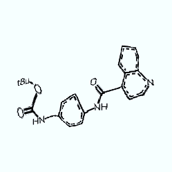 CC(C)(C)OC(=O)Nc1ccc(NC(=O)c2ccnc3ccccc23)cc1